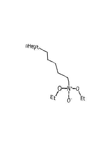 CCCCCCCCCCCC[N+]([O-])(OCC)OCC